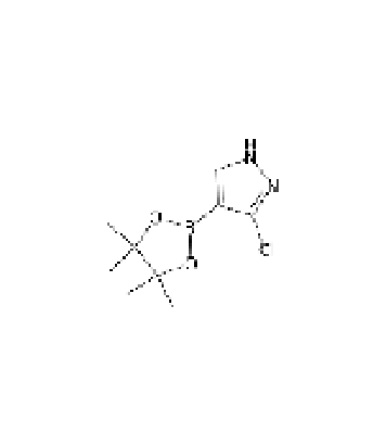 CC1(C)OB(c2c[nH]nc2Cl)OC1(C)C